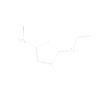 CC(C)NC1CC(C)C(NC(C)C)C1